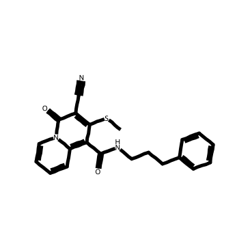 CSc1c(C#N)c(=O)n2ccccc2c1C(=O)NCCCc1ccccc1